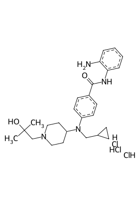 CC(C)(O)CN1CCC(N(CC2CC2)c2ccc(C(=O)Nc3ccccc3N)cc2)CC1.Cl.Cl.Cl